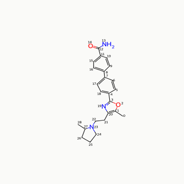 Cc1oc(-c2ccc(-c3ccc(C(N)=O)cc3)cc2)nc1CCN1CCCC1C